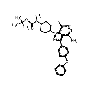 CN(C(=O)OC(C)(C)C)[C@H]1CC[C@@H](n2nc(-c3ccc(Oc4ccccc4)cc3)c3c(N)n[nH]c(=O)c32)CC1